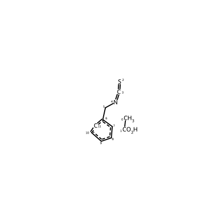 CC(=O)O.S=C=NCc1ccccc1